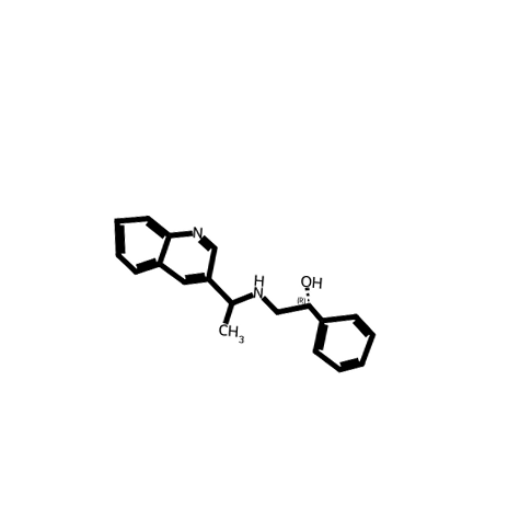 CC(NC[C@H](O)c1ccccc1)c1cnc2ccccc2c1